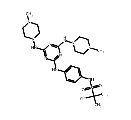 CCCC(C)(C)S(=O)(=O)Nc1ccc(Nc2nc(NN3CCN(C)CC3)nc(NN3CCN(C)CC3)n2)cc1